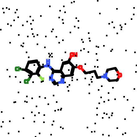 Oc1cc2c(Nc3ccc(Cl)c(Cl)c3F)ncnc2cc1OCCCN1CCOCC1